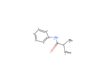 CCCCCC(C(=O)Nc1ccccc1)C(C)(C)C